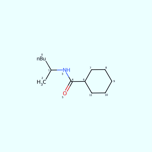 CCCCC(C)NC(=O)C1CCCCC1